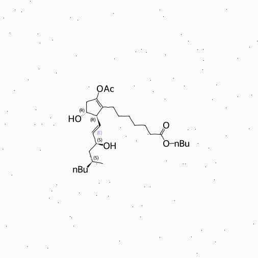 CCCCOC(=O)CCCCCCC1=C(OC(C)=O)C[C@@H](O)[C@@H]1/C=C/[C@@H](O)C[C@@H](C)CCCC